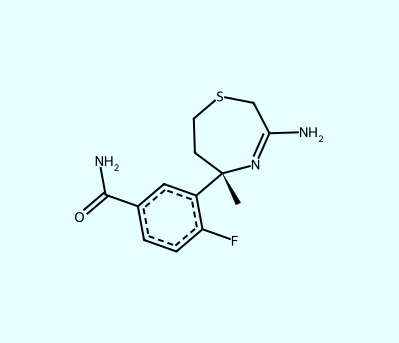 C[C@@]1(c2cc(C(N)=O)ccc2F)CCSCC(N)=N1